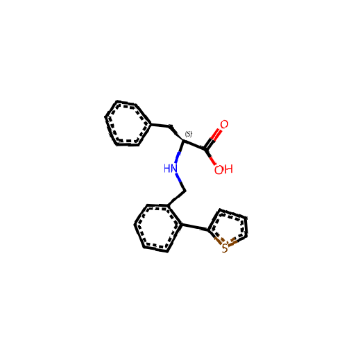 O=C(O)[C@H](Cc1ccccc1)NCc1ccccc1-c1cccs1